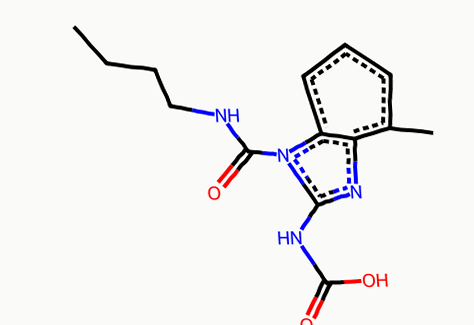 CCCCNC(=O)n1c(NC(=O)O)nc2c(C)cccc21